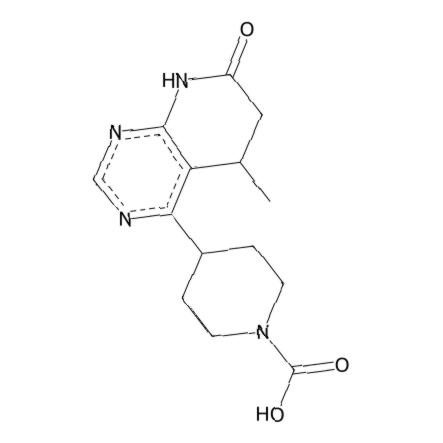 CC1CC(=O)Nc2ncnc(C3CCN(C(=O)O)CC3)c21